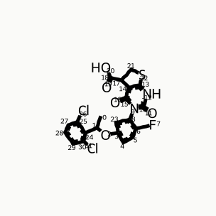 CC(Oc1ccc(F)c(-n2c(=O)[nH]c3c(c2=O)C(C(=O)O)CS3)c1)c1c(Cl)cccc1Cl